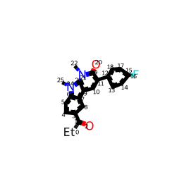 CCC(=O)c1ccc2c(c1)c1cc(-c3ccc(F)cc3)c(=O)n(C)c1n2C